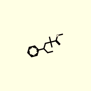 C=C(OC)C(C)(C)CC(CC)c1ccccc1